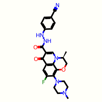 C[C@H]1COc2c(N3CCN(C)CC3)c(F)cc3c(=O)c(C(=O)NNc4ccc(C#N)cc4)cn1c23